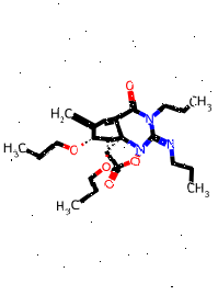 C=C1C=C2C(=O)N(CCC)/C(=N/CCC)N3OC(=O)C[C@]23[C@H](OCCC)[C@@H]1OCCC